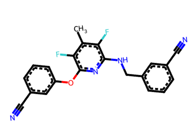 Cc1c(F)c(NCc2cccc(C#N)c2)nc(Oc2cccc(C#N)c2)c1F